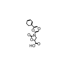 O=C(O)C1CN(C2=COC=C(C3=CC=CCC3)O2)C(=O)O1